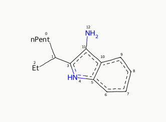 CCCCCC(CC)c1[nH]c2ccccc2c1N